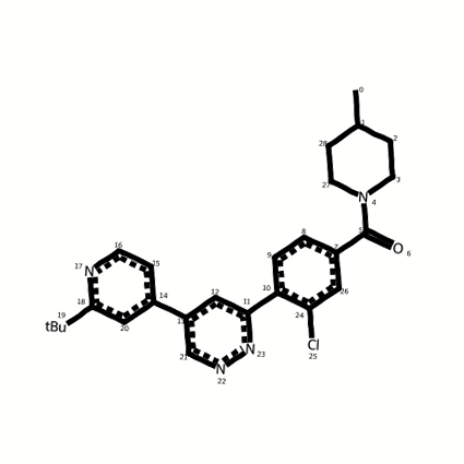 CC1CCN(C(=O)c2ccc(-c3cc(-c4ccnc(C(C)(C)C)c4)cnn3)c(Cl)c2)CC1